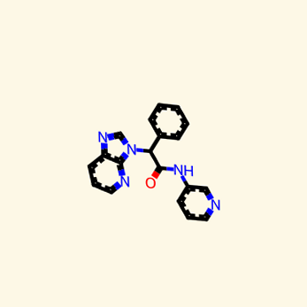 O=C(Nc1cccnc1)C(c1ccccc1)n1cnc2cccnc21